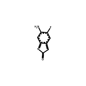 Nc1cc2c(cc1F)=CC(=O)N=2